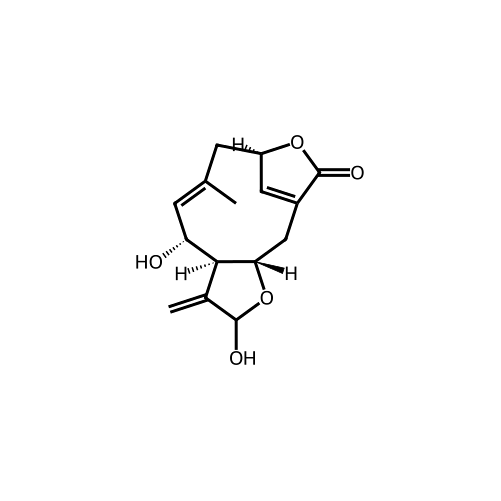 C=C1C(O)O[C@H]2CC3=C[C@@H](C/C(C)=C/[C@@H](O)[C@H]12)OC3=O